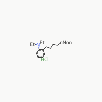 CCCCCCCCCCCCCc1ccccc1N(CC)CC.Cl